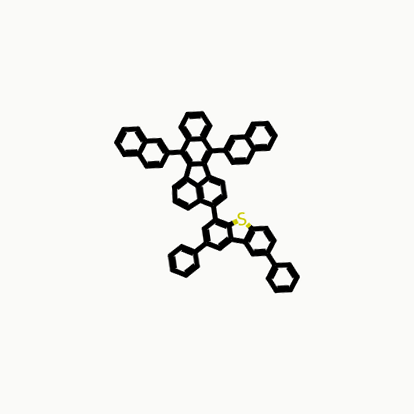 c1ccc(-c2ccc3sc4c(-c5ccc6c7c(cccc57)-c5c-6c(-c6ccc7ccccc7c6)c6ccccc6c5-c5ccc6ccccc6c5)cc(-c5ccccc5)cc4c3c2)cc1